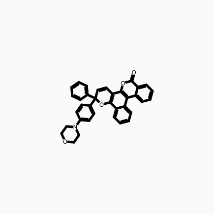 O=c1oc2c3c(c4ccccc4c2c2ccccc12)OC(c1ccccc1)(c1ccc(N2CCOCC2)cc1)C=C3